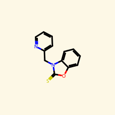 S=c1oc2ccccc2n1Cc1ccccn1